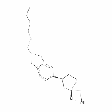 CCCCCCC1Cc2ccc([C@H]3CC[C@](N)(CO)C3)cc2C1